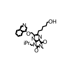 CC(C)Cn1c(=O)n(C)c(=O)c2nc(CCCCCO)c(COc3cncc4ccccc34)nc21